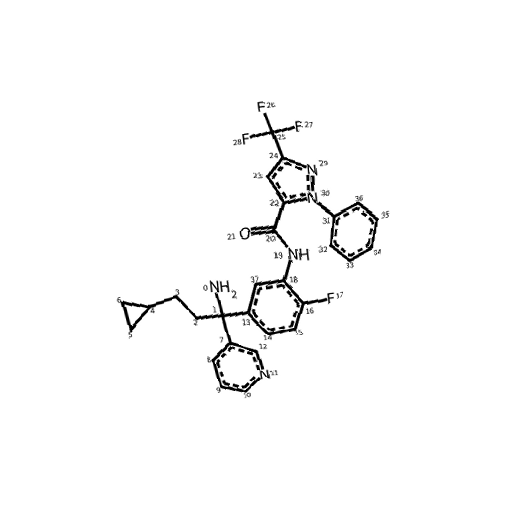 NC(CCC1CC1)(c1cccnc1)c1ccc(F)c(NC(=O)c2cc(C(F)(F)F)nn2-c2c[c]ccc2)c1